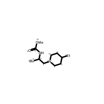 CCC1CCN(CC(NC(=O)OC)C(C)(C)C)CC1